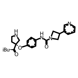 CC[C@H](C)C(=O)[C@@]1(Oc2ccc(NC(=O)N3CC(c4cccnc4)C3)cc2)CCNC1